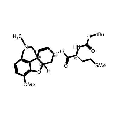 COc1ccc2c3c1O[C@H]1C[C@@H](OC(=O)[C@@H](CCSC)NC(=O)OC(C)(C)C)C=C[C@@]31CCN(C)C2